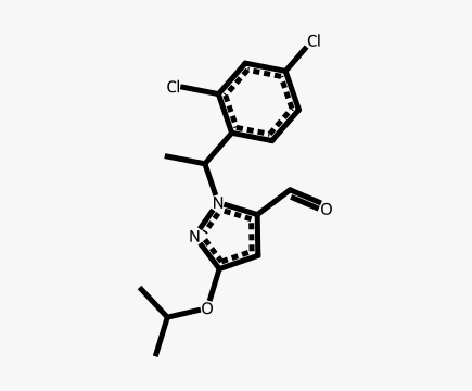 CC(C)Oc1cc(C=O)n(C(C)c2ccc(Cl)cc2Cl)n1